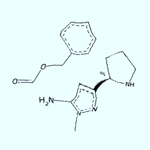 Cn1nc([C@H]2CCCN2)cc1N.O=COCc1ccccc1